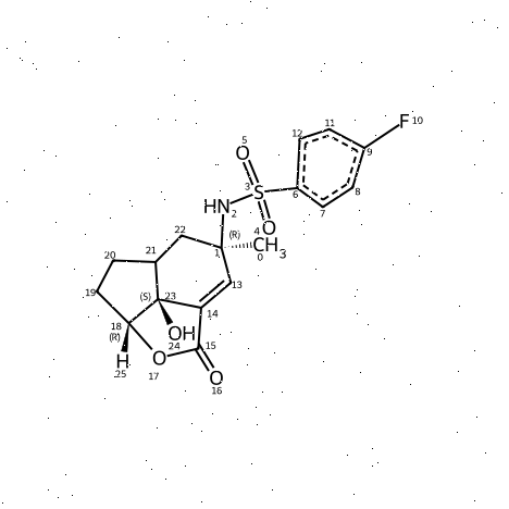 C[C@]1(NS(=O)(=O)c2ccc(F)cc2)C=C2C(=O)O[C@@H]3CCC(C1)[C@]23O